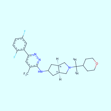 [2H]C([2H])(C1CCOCC1)N1C[C@H]2CC(Nc3nnc(-c4cc(F)ccc4F)cc3C(F)(F)F)C[C@H]2C1